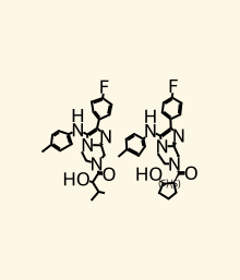 Cc1ccc(Nc2c(-c3ccc(F)cc3)nc3n2CCN(C(=O)C(O)C(C)C)C3)cc1.Cc1ccc(Nc2c(-c3ccc(F)cc3)nc3n2CCN(C(=O)[C@H]2CCC[C@@H]2O)C3)cc1